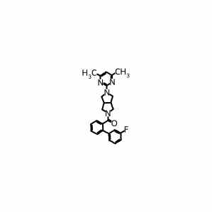 Cc1cc(C)nc(N2CC3CN(C(=O)c4ccccc4-c4cccc(F)c4)CC3C2)n1